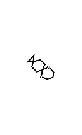 C1COC2(CCC3(CC3)CC2)OC1